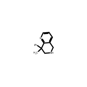 CC(C)C1(C)CNCc2cccnc21